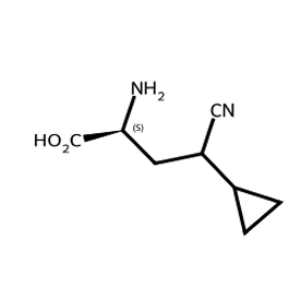 N#CC(C[C@H](N)C(=O)O)C1CC1